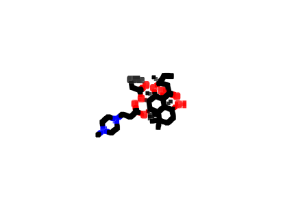 C=C[C@@]1(C)CC(=O)[C@]2(O)[C@@]3(C)[C@@H](O)CCC(C)(C)[C@@H]3[C@H](OC(=O)CCN3CCN(C)CC3)[C@H](OC(=O)COC)[C@@]2(C)O1